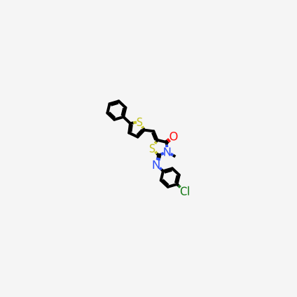 CN1C(=O)/C(=C/c2ccc(-c3ccccc3)s2)S/C1=N/c1ccc(Cl)cc1